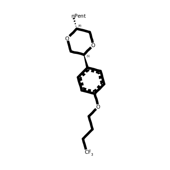 CCCCC[C@@H]1CO[C@@H](c2ccc(OCCCC(F)(F)F)cc2)CO1